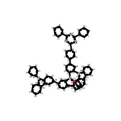 c1ccc(-c2nc(-c3ccccc3)nc(-c3ccc(-c4ccc(-n5c6ccccc6c6ccc(-c7ccc8c(c7)c7ccccc7n8-c7ccccc7)cc65)c(-n5c6ccccc6c6ccccc65)c4)cc3)n2)cc1